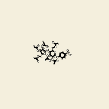 CC(=O)OC[C@H]1O[C@H](Oc2ccc([N+](=O)[O-])cc2)[C@H](OC(C)=O)[C@@H](OC(C)=O)[C@@H]1O[C@@H]1O[C@H](COC(C)=O)[C@@H](OC(C)=O)[C@@H]1OC(C)=O